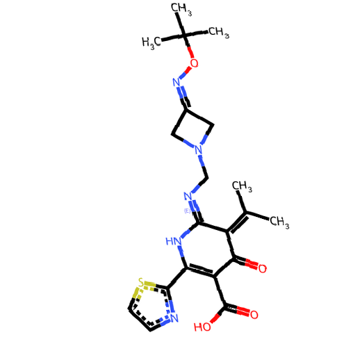 CC(C)=C1C(=O)C(C(=O)O)=C(c2nccs2)N/C1=N/CN1CC(=NOC(C)(C)C)C1